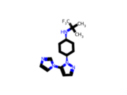 CC(C)(N[C@H]1CC[C@@H](n2nccc2-n2ccnc2)CC1)C(F)(F)F